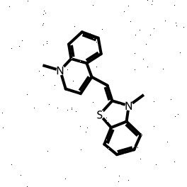 CN1CC=C(C=C2Sc3ccccc3N2C)c2ccccc21